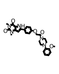 COc1ccccc1N1CCN(C(=O)COc2ccc(-c3cc4c([nH]3)c(=O)n(C)c(=O)n4C)cc2)CC1